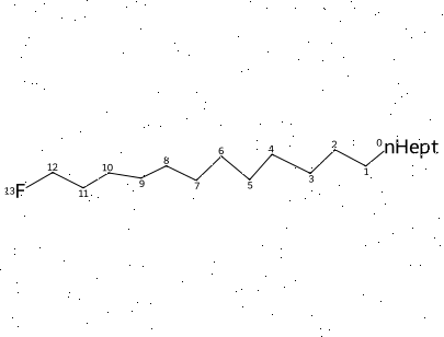 [CH2]CCCCCCCCCCCCCCCCCCF